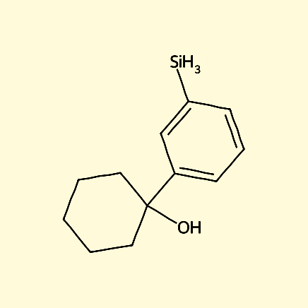 OC1(c2cccc([SiH3])c2)CCCCC1